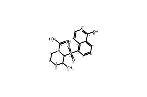 CC1NCCN(C(=N)N)C1S(=O)(=O)c1cccc2c(O)nccc12